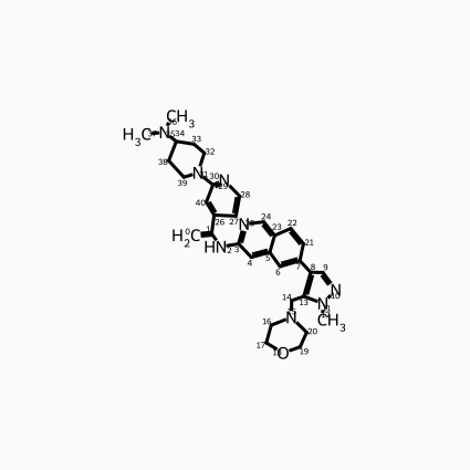 C=C(Nc1cc2cc(-c3cnn(C)c3CN3CCOCC3)ccc2cn1)c1ccnc(N2CCC(N(C)C)CC2)c1